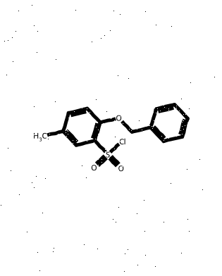 Cc1ccc(OCc2ccccc2)c(S(=O)(=O)Cl)c1